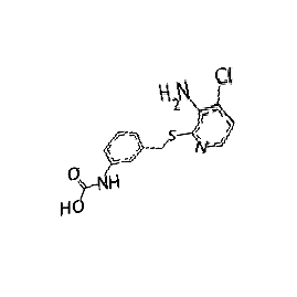 Nc1c(Cl)ccnc1SCc1cccc(NC(=O)O)c1